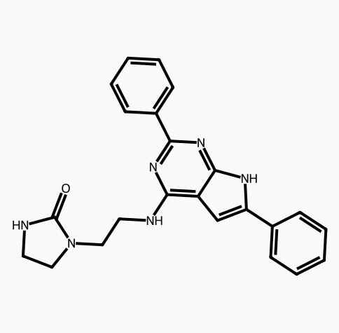 O=C1NCCN1CCNc1nc(-c2ccccc2)nc2[nH]c(-c3ccccc3)cc12